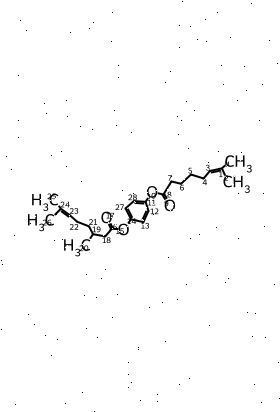 CC(C)=CCCCCC(=O)Oc1ccc(OC(=O)CC(C)CCC=C(C)C)cc1